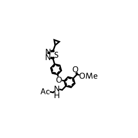 COC(=O)c1ccc(CNCC(C)=O)c(Oc2ccc(-c3nnc(C4CC4)s3)cc2)c1